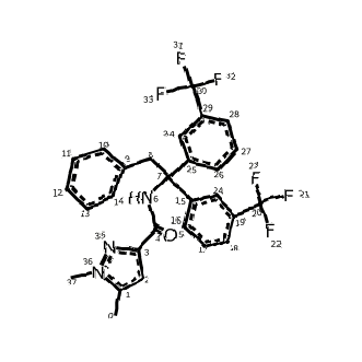 Cc1cc(C(=O)NC(Cc2ccccc2)(c2cccc(C(F)(F)F)c2)c2cccc(C(F)(F)F)c2)nn1C